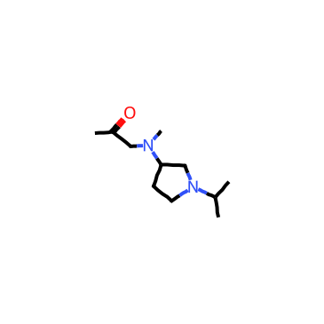 CC(=O)CN(C)C1CCN(C(C)C)C1